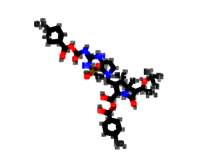 CC[Si](CC)(CC)O[C@H](C)C1C(=O)N2C(C(=O)OC(=O)c3ccc([N+](=O)[O-])cc3)=C(CN3CC[C@H](NC(=NC(=O)OC(=O)c4ccc([N+](=O)[O-])cc4)NS(C)(=O)=O)C3)[C@H](C)[C@H]12